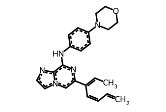 C=C/C=C\C(=C/C)c1cn2ccnc2c(Nc2ccc(N3CCOCC3)cc2)n1